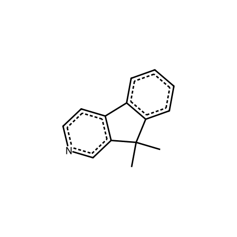 CC1(C)c2ccccc2-c2ccncc21